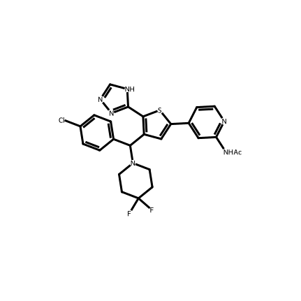 CC(=O)Nc1cc(-c2cc(C(c3ccc(Cl)cc3)N3CCC(F)(F)CC3)c(-c3nnc[nH]3)s2)ccn1